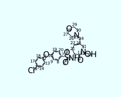 O=C1C(NS(=O)(=O)c2ccc(Oc3ccc(Cl)cc3)cc2)CC=C(CN2CCOCC2)CN1O